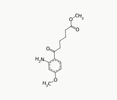 COC(=O)CCCCC(=O)c1ccc(OC)cc1N